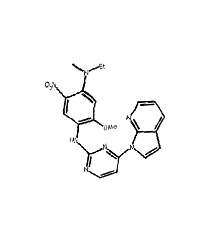 [CH2]CN(C)c1cc(OC)c(Nc2nccc(-n3ccc4cccnc43)n2)cc1[N+](=O)[O-]